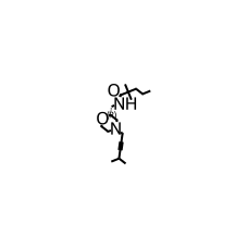 CCCC(C)(C)C(=O)NC[C@@H]1CN(CC#CC(C)C)CCO1